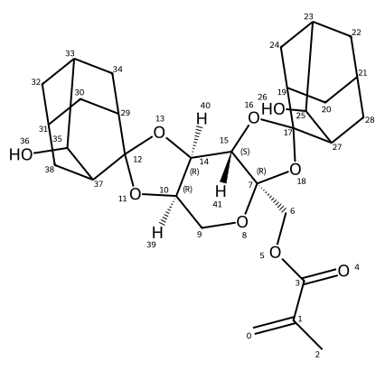 C=C(C)C(=O)OC[C@]12OC[C@H]3OC4(O[C@H]3[C@@H]1OC1(O2)C2CC3CC(C2)C(O)C1C3)C1CC2CC(C1)C(O)C4C2